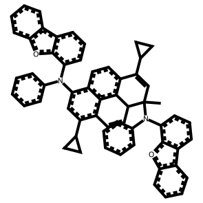 CC1(N(c2ccccc2)c2cccc3c2oc2ccccc23)C=C(C2CC2)c2ccc3c(N(c4ccccc4)c4cccc5c4oc4ccccc45)cc(C4CC4)c4c3c2C1C=C4